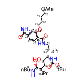 CCCCNC(=O)[C@@H](C[C@H](O)[C@H](C[C@H](CNC(=O)c1ccc(C(N)=O)cc1OCCCCOC)C(C)C)NC(=O)OC(C)(C)C)C(C)C